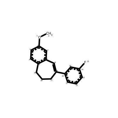 COc1ccc2c(c1)C=C(c1cccc(F)c1)CCC2